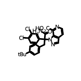 CC(C)(C)c1ccc(CC(C(N)=O)(c2ccc(Cl)c(Cl)c2)n2ncc3ccnc(C(=O)O)c32)cc1